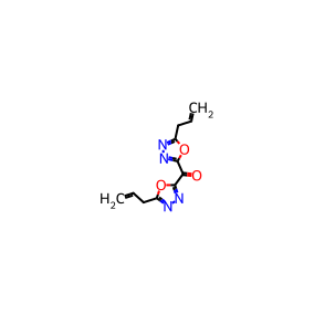 C=CCc1nnc(C(=O)c2nnc(CC=C)o2)o1